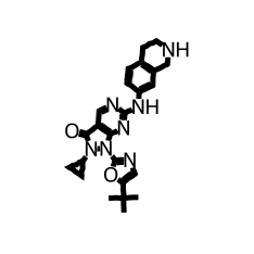 CC(C)(C)c1cnc(-n2c3nc(Nc4ccc5c(c4)CNCC5)ncc3c(=O)n2C2CC2)o1